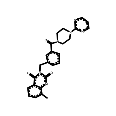 Cc1cccc2c(=O)n(Cc3cccc(C(=O)N4CCN(c5ncccn5)CC4)c3)c(=O)[nH]c12